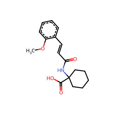 COc1ccccc1/C=C/C(=O)NC1(C(=O)O)CCCCC1